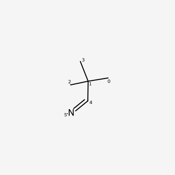 CC(C)(C)C=[N]